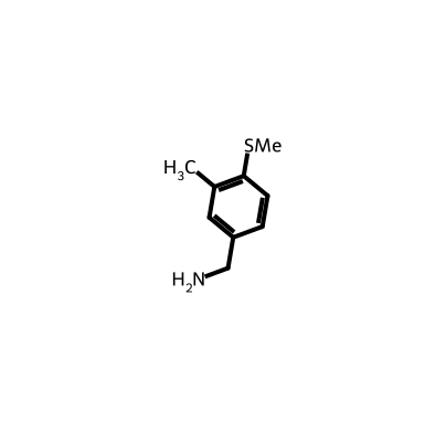 CSc1ccc(CN)cc1C